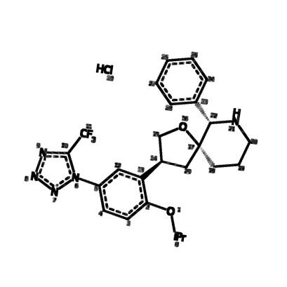 CC(C)Oc1ccc(-n2nnnc2C(F)(F)F)cc1[C@H]1CO[C@]2(CCCN[C@H]2c2ccccc2)C1.Cl